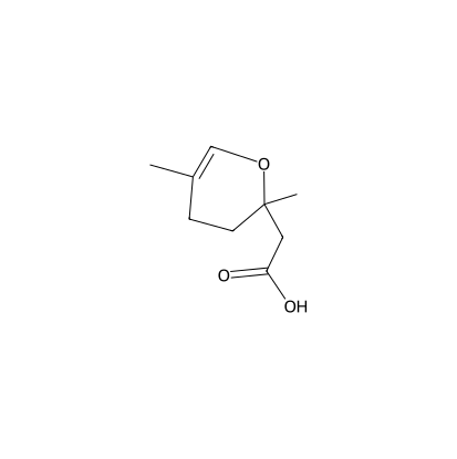 CC1=COC(C)(CC(=O)O)CC1